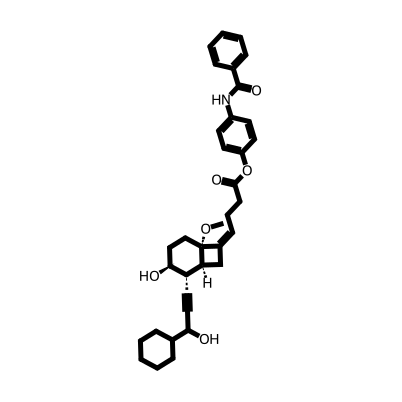 CO[C@@]12CC[C@H](O)[C@@H](C#CC(O)C3CCCCC3)[C@@H]1C/C2=C/CCC(=O)Oc1ccc(NC(=O)c2ccccc2)cc1